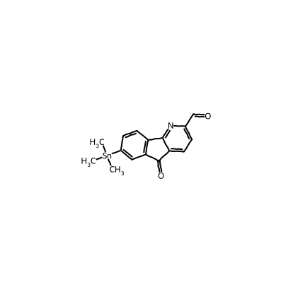 [CH3][Sn]([CH3])([CH3])[c]1ccc2c(c1)C(=O)c1ccc(C=O)nc1-2